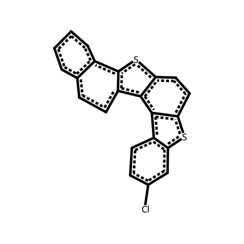 Clc1ccc2c(c1)sc1ccc3sc4c5ccccc5ccc4c3c12